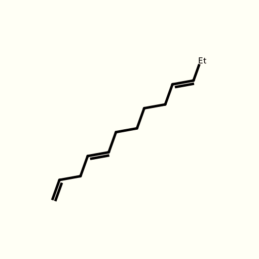 [CH]=CCC=CCCCCC=CCC